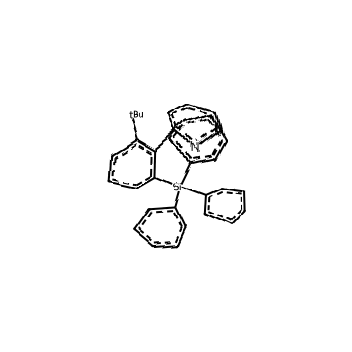 CC(C)(C)c1cccc([Si](c2ccccc2)(c2ccccc2)c2ccccc2)c1-c1ccccn1